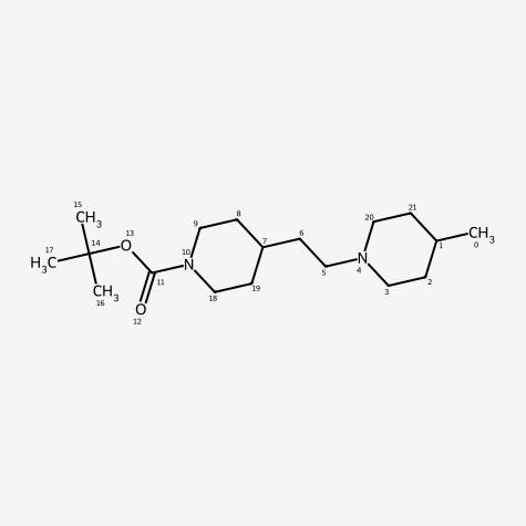 CC1CCN(CCC2CCN(C(=O)OC(C)(C)C)CC2)CC1